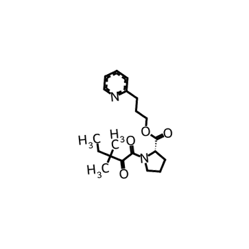 CCC(C)(C)C(=O)C(=O)N1CCC[C@H]1C(=O)OCCCc1ccccn1